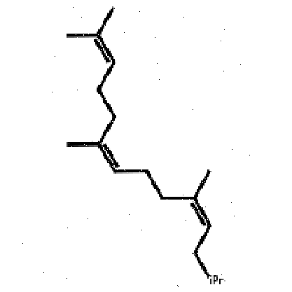 C[C](C)CC=C(C)CCC=C(C)CCC=C(C)C